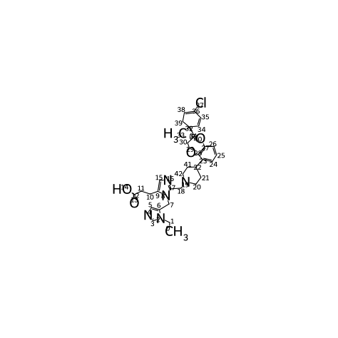 CCn1cncc1Cn1c(CCC(=O)O)cnc1CN1CCC(c2cccc3c2OC[C@@H](C2(C)C=CC(Cl)=CC2)O3)CC1